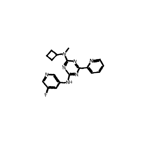 CN(c1nc(Nc2cncc(F)c2)nc(-c2ccccn2)n1)C1CCC1